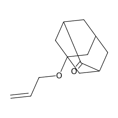 C=CCOC12CC3CC(C1)C(=O)C(C3)C2